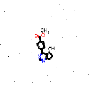 COC(=O)c1ccc(-c2ncnc3c2[C@H](C)CC3)cc1